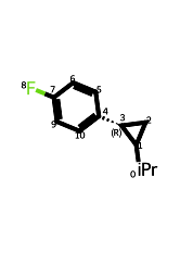 CC(C)C1C[C@H]1c1ccc(F)cc1